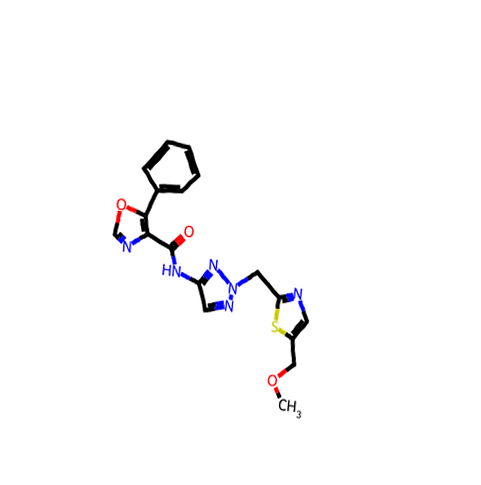 COCc1cnc(Cn2ncc(NC(=O)c3ncoc3-c3ccccc3)n2)s1